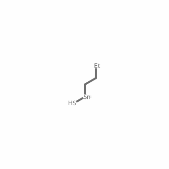 CCC[CH2][Sn][SH]